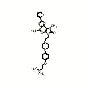 CN(C)CCOc1ccc(N2CCN(CCn3c(=O)n(C)c4c3nc(N)n3nc(-c5ccco5)nc43)CC2)cc1